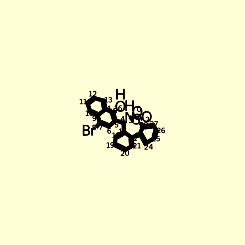 O=S1(=O)NC(c2cc(Br)c3ccccc3c2O)c2ccccc2-c2ccccc21